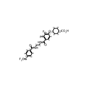 O=C(NCCNC(=O)c1ccc(O[C@H]2CC[C@@H](C(=O)O)CC2)c(F)c1F)c1ccc(SC(F)(F)F)cc1